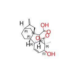 C=C1C[C@]23C[C@H]1CC[C@H]2[C@@]12C=C[C@H](O)[C@](C)(C(=O)O1)[C@H]2C3C(=O)O